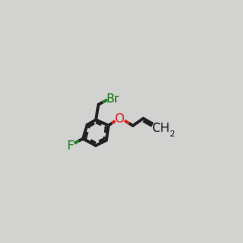 C=CCOc1ccc(F)cc1CBr